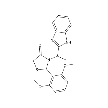 COc1cccc(OC)c1C1SCC(=O)N1C(C)c1nc2ccccc2[nH]1